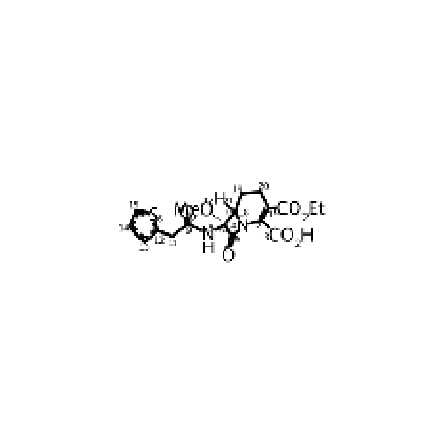 CCOC(=O)C1=C(C(=O)O)N2C(=O)[C@](NC(=O)Cc3cccs3)(OC)[C@@H]2CC1